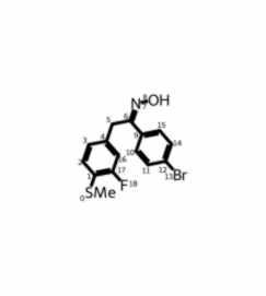 CSc1ccc(C/C(=N/O)c2ccc(Br)cc2)cc1F